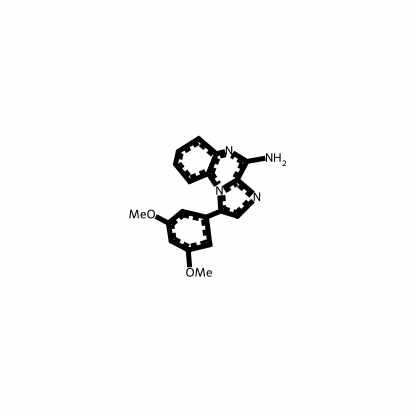 COc1cc(OC)cc(-c2cnc3c(N)nc4ccccc4n23)c1